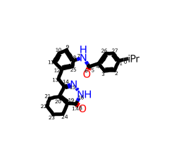 CC(C)c1ccc(C(=O)Nc2cccc(Cc3n[nH]c(=O)c4c3CCCC4)c2)cc1